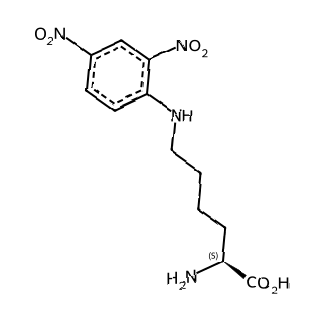 N[C@@H](CCCCNc1ccc([N+](=O)[O-])cc1[N+](=O)[O-])C(=O)O